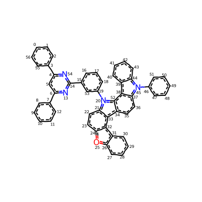 c1ccc(-c2cc(-c3ccccc3)nc(-c3cccc(-n4c5ccc6oc7ccccc7c6c5c5ccc6c(c7ccccc7n6-c6ccccc6)c54)c3)n2)cc1